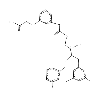 NC(=O)COc1cccc(CC(=O)NC[C@@H](O)C(Cc2cc(F)cc(F)c2)NCc2cccc(I)c2)c1